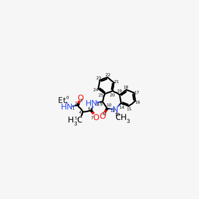 CCNC(=O)C(C)C(=O)NC1C(=O)N(C)c2ccccc2-c2ccccc21